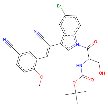 COc1ccc(C#N)cc1C=C(C#N)c1cn(C(=O)C(CO)NC(=O)OC(C)(C)C)c2ccc(Br)cc12